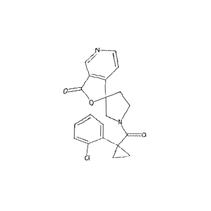 O=C1OC2(CCN(C(=O)C3(c4ccccc4Cl)CC3)C2)c2ccncc21